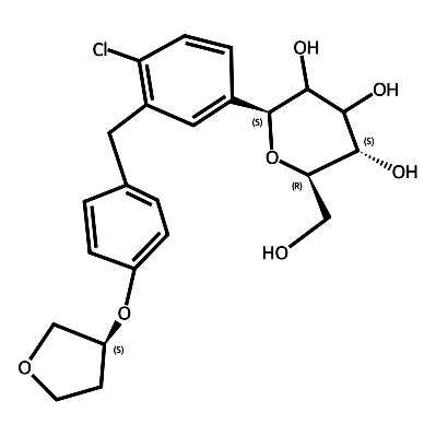 OC[C@H]1O[C@@H](c2ccc(Cl)c(Cc3ccc(O[C@H]4CCOC4)cc3)c2)C(O)C(O)[C@@H]1O